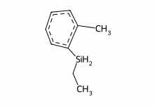 CC[SiH2]c1ccccc1C